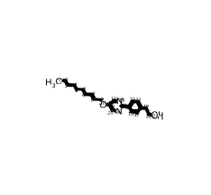 CCCCCCCCCCOc1cnc(-c2ccc(CCO)cc2)nc1